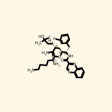 CC(C)(O)CC[C@H](C[C@H](OC(=O)[C@@H](N)CCCCN)[C@H](Cc1cccc(F)c1)NC(=O)c1cnc2ccccc2n1)C(N)=O